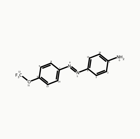 Nc1ccc(/N=N/c2ccc(OC(F)(F)F)cc2)cc1